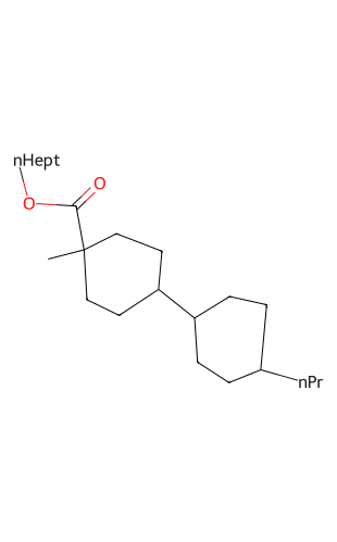 CCCCCCCOC(=O)C1(C)CCC(C2CCC(CCC)CC2)CC1